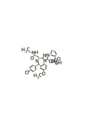 CCNC(=O)C[C@@H]1N=C(c2ccc(Cl)cc2)c2cc(OC)ccc2-n2c(C)nnc21.O=S(=O)(O)c1ccccc1